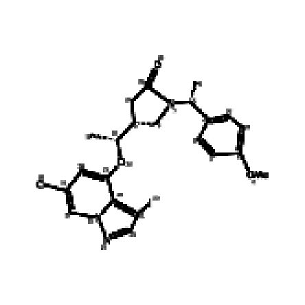 COc1ccc([C@@H](C)N2C[C@H]([C@@H](C)Oc3cc(Cl)cn4ncc(I)c34)CC2=O)cc1